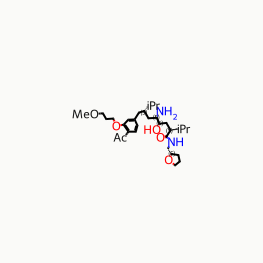 COCCCOc1cc(C[C@@H](C[C@H](N)[C@@H](O)C[C@H](C(=O)NC[C@@H]2CCCO2)C(C)C)C(C)C)ccc1C(C)=O